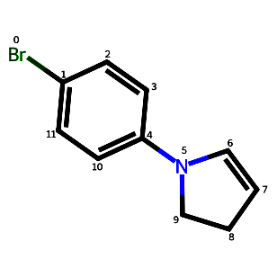 Brc1ccc(N2C=CCC2)cc1